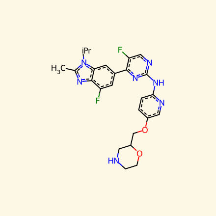 Cc1nc2c(F)cc(-c3nc(Nc4ccc(OCC5CNCCO5)cn4)ncc3F)cc2n1C(C)C